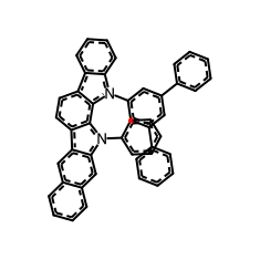 c1ccc(-c2cc(-c3ccccc3)cc(-n3c4ccccc4c4ccc5c6cc7ccccc7cc6n(-c6ccccc6)c5c43)c2)cc1